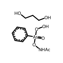 CC(=O)NO[As](=O)(OO)c1ccccc1.OCCCO